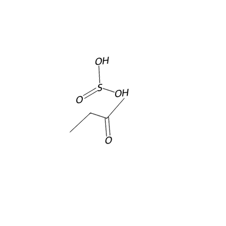 CCC(C)=O.O=S(O)O